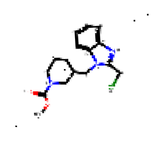 CC(C)(C)OC(=O)N1CCCC(Cn2c(CCl)nc3ccccc32)C1